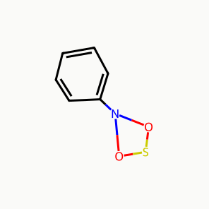 c1ccc(N2OSO2)cc1